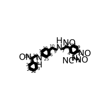 N#CN(N=O)c1cc(C(CNCCc2ccc(NCC(N=O)c3ccccc3)cc2)N=O)ccc1N=O